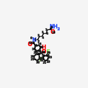 CN(CCCCCCC(N)=O)C(=O)c1ccc(C(O)(c2ccccc2F)c2ccccc2F)cc1